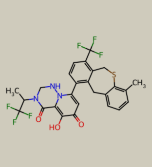 Cc1cccc2c1SCc1c(C(F)(F)F)ccc(-c3cc(=O)c(O)c4n3NCN(C(C)C(F)(F)F)C4=O)c1C2